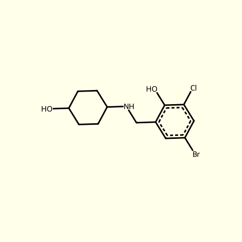 Oc1c(Cl)cc(Br)cc1CNC1CCC(O)CC1